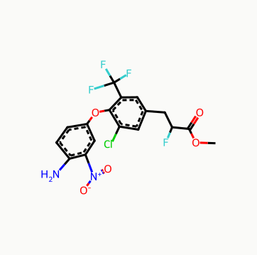 COC(=O)C(F)Cc1cc(Cl)c(Oc2ccc(N)c([N+](=O)[O-])c2)c(C(F)(F)F)c1